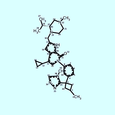 CC1CC(c2cccc(-n3cc(C4CC4)c4cc(CN5CCN(C)C[C@H]5C(C)C)[nH]c4c3=O)c2)(c2nncn2C)C1